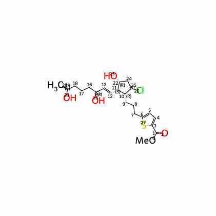 COC(=O)c1ccc(CCC[C@@H]2[C@H](C=C[C@@H](O)CCC[C@H](C)O)[C@H](O)C[C@@H]2Cl)s1